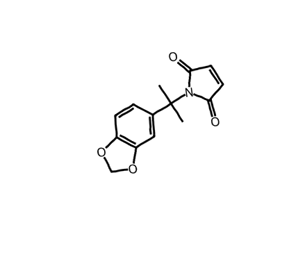 CC(C)(c1ccc2c(c1)OCO2)N1C(=O)C=CC1=O